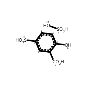 O=C(O)c1cc(S(=O)(=O)O)ccc1O.O=S(=O)(O)O